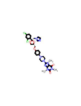 Cn1c(=O)c2c(nc(N3CCN(c4ccc(OC[C@@H]5CO[C@@](Cn6ccnc6)(c6ccc(Cl)cc6Cl)O5)cc4)CC3)n2C)n(C)c1=O